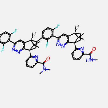 CNC(=O)c1cccc([C@@]23CC[C@@H](c4cc(-c5c(F)ccc(C6C[C@]7(c8cccc(C(=O)N(C)C)n8)c8nnc(-c9c(F)cccc9F)cc8[C@H]6C7(C)C)c5F)nnc42)C3(C)C)n1